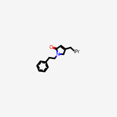 CC(C)CC1=CC(=O)N(CCc2ccccc2)C1